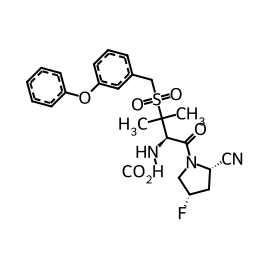 CC(C)([C@H](NC(=O)O)C(=O)N1C[C@@H](F)C[C@H]1C#N)S(=O)(=O)Cc1cccc(Oc2ccccc2)c1